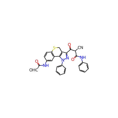 N#CC(C(=O)Nc1ccccc1)C(=O)c1nn(-c2ccccc2)c2c1CSc1ccc(NC(=O)C=O)cc1-2